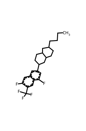 CCCCC1CCC2CC(c3cc(F)c4cc(C(F)(F)F)c(F)cc4c3)CCC2C1